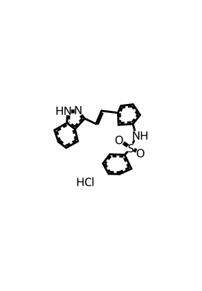 Cl.O=S(=O)(Nc1cccc(C=Cc2n[nH]c3ccccc23)c1)c1ccccc1